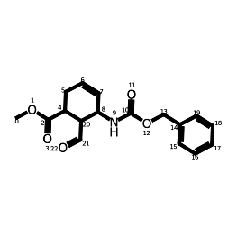 COC(=O)C1CC=CC(NC(=O)OCc2ccccc2)C1C=O